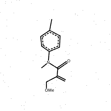 C=C(COC)C(=O)N(C)c1ccc(C)cc1